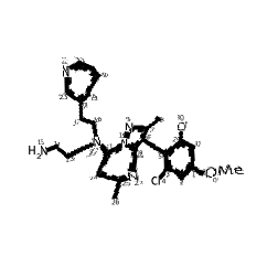 COc1cc(Cl)c(-c2c(C)nn3c(N(CCN)CCc4cccnc4)cc(C)nc23)c(Cl)c1